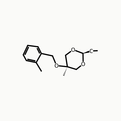 CC[C@H]1OC[C@@](C)(OCc2ccccc2C)CO1